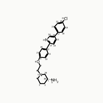 N[C@@H]1CCCN(CCOc2ccc(-c3ccc(-c4ccc(Cl)cc4)cn3)cc2)C1